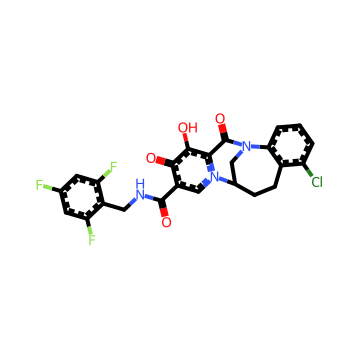 O=C(NCc1c(F)cc(F)cc1F)c1cn2c(c(O)c1=O)C(=O)N1CC2CCc2c(Cl)cccc21